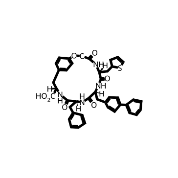 O=C1COc2ccc(cc2)C[C@@H](C(=O)O)NC(=O)[C@H](Cc2ccccc2)NC(=O)[C@H](Cc2ccc(-c3ccccc3)cc2)NC(=O)[C@@H](CC2CC=CS2)N1